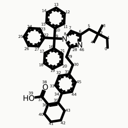 CCC(C)(C)Cc1cn(C(c2ccccc2)(c2ccccc2)c2ccccc2)c(CCc2ccc(C3=C(C(=O)O)CCCC3)cc2)n1